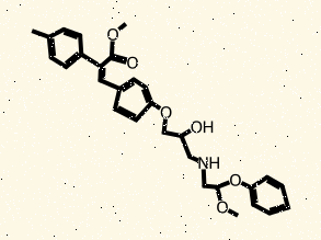 COC(=O)C(=Cc1ccc(OCC(O)CNCC(OC)Oc2ccccc2)cc1)c1ccc(C)cc1